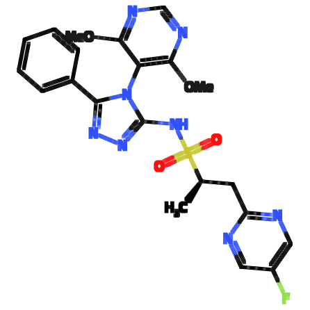 COc1ncnc(OC)c1-n1c(NS(=O)(=O)[C@H](C)Cc2ncc(F)cn2)nnc1-c1ccccc1